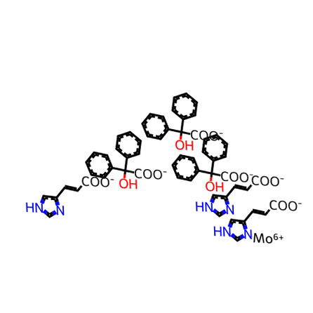 O=C([O-])C(O)(c1ccccc1)c1ccccc1.O=C([O-])C(O)(c1ccccc1)c1ccccc1.O=C([O-])C(O)(c1ccccc1)c1ccccc1.O=C([O-])C=Cc1c[nH]cn1.O=C([O-])C=Cc1c[nH]cn1.O=C([O-])C=Cc1c[nH]cn1.[Mo+6]